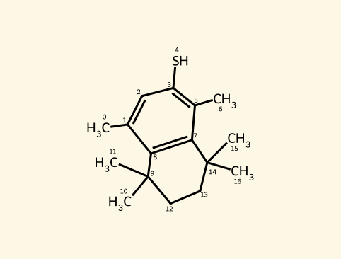 Cc1cc(S)c(C)c2c1C(C)(C)CCC2(C)C